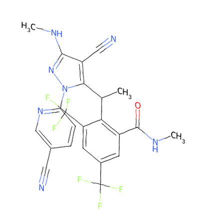 CNC(=O)c1cc(C(F)(F)F)cc(C(F)(F)F)c1C(C)c1c(C#N)c(NC)nn1-c1ccc(C#N)cn1